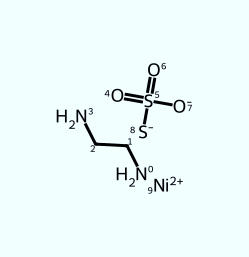 NCCN.O=S(=O)([O-])[S-].[Ni+2]